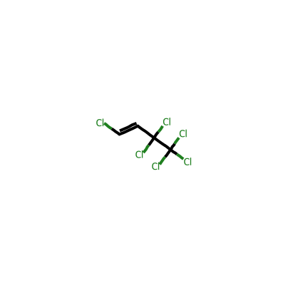 ClC=CC(Cl)(Cl)C(Cl)(Cl)Cl